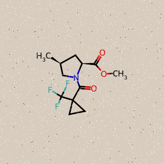 COC(=O)[C@@H]1C[C@H](C)CN1C(=O)C1(C(F)(F)F)CC1